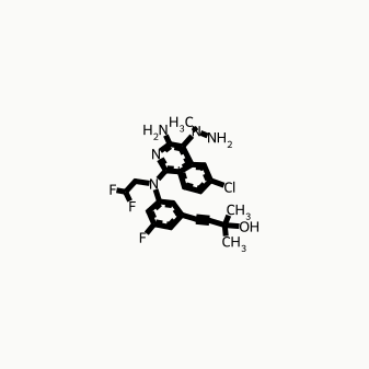 CN(N)c1c(N)nc(N(CC(F)F)c2cc(F)cc(C#CC(C)(C)O)c2)c2ccc(Cl)cc12